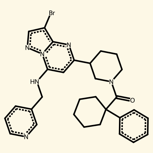 O=C(N1CCCC(c2cc(NCc3cccnc3)n3ncc(Br)c3n2)C1)C1(c2ccccc2)CCCCC1